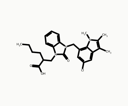 CCCCC(Cn1c(=O)n(Cc2cc(Cl)cc3c(C)c(C)n(C)c23)c2ccccc21)C(=O)O